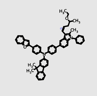 CCOC(C)C/C=C\c1c(C)n(-c2ccccc2)c2ccc(-c3ccc(N(c4ccc(-c5cc6ccccc6o5)cc4)c4ccc5c(c4)C(C)(C)c4ccccc4-5)cc3)cc12